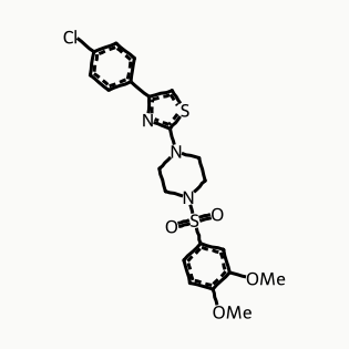 COc1ccc(S(=O)(=O)N2CCN(c3nc(-c4ccc(Cl)cc4)cs3)CC2)cc1OC